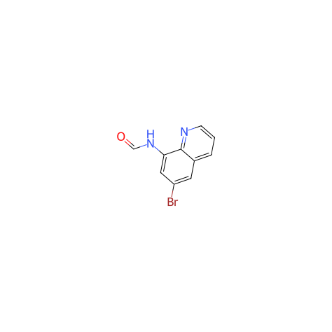 O=CNc1cc(Br)cc2cccnc12